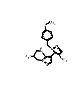 COc1ccc(Cn2ncc(N)c2-c2cnn3c2NCC(C)C3)cc1